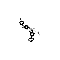 Cc1cc(-c2cnccn2)cc2c1C(=O)N(Cc1ccc(OC3=CC=C(F)CC3)cc1)C2